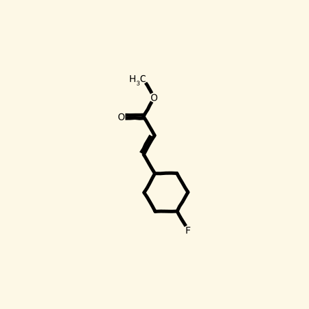 COC(=O)C=CC1CCC(F)CC1